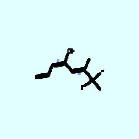 C=C/C=C(O)\C=C(/C)C(C)(F)F